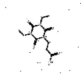 CCn1c(=O)n(CC)c(=O)n(CCC(=O)O)c1=O